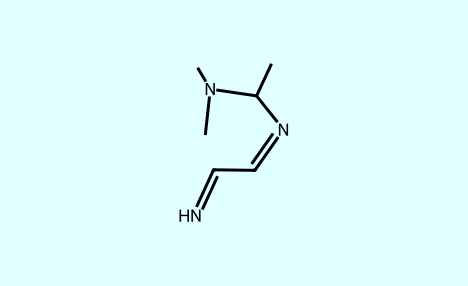 CC(/N=C\C=N)N(C)C